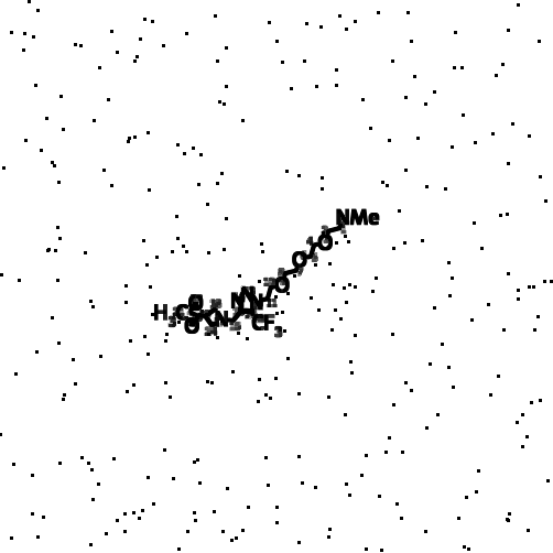 CNCCOCCOCCOCCn1nnc(CN2CC(S(C)(=O)=O)C2)c1C(F)(F)F